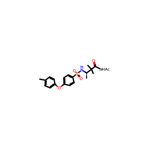 CC(=O)NC(=O)C(C)(C)[C@@H](C)NS(=O)(=O)c1ccc(Oc2ccc(C)cc2)cc1